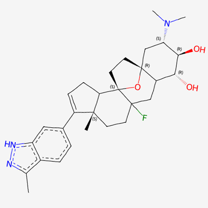 Cc1n[nH]c2cc(C3=CCC4[C@@]56CC[C@]7(C[C@H](N(C)C)[C@@H](O)[C@H](O)C7CC5(F)CC[C@]34C)O6)ccc12